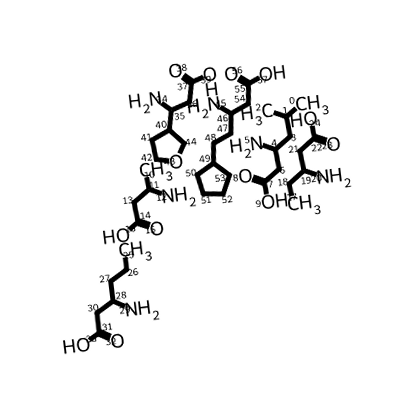 CC(C)CC(N)CC(=O)O.CC(N)CC(=O)O.CCC(N)CC(=O)O.CCCC(N)CC(=O)O.NC(CC(=O)O)C1CCOC1.NC(CCC1CCCC1)CC(=O)O